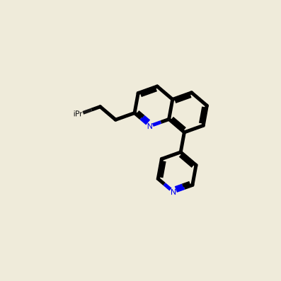 CC(C)CCc1ccc2cccc(-c3ccncc3)c2n1